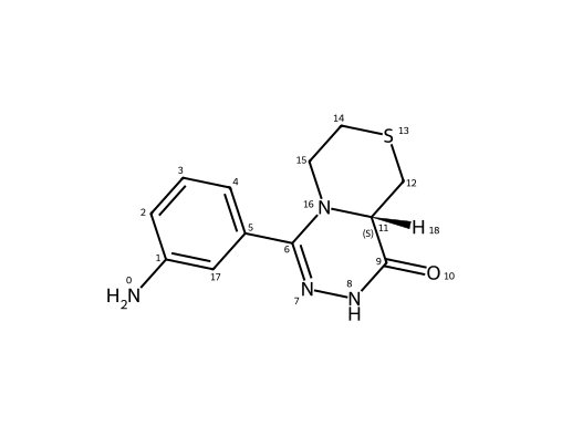 Nc1cccc(C2=NNC(=O)[C@H]3CSCCN23)c1